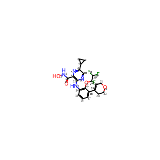 O=C(NO)c1nc(C2CC2)cnc1Nc1cccc(C2=CCOCC2)c1OC(F)C(F)F